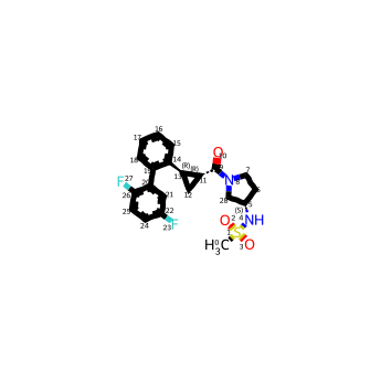 CS(=O)(=O)N[C@H]1CCN(C(=O)[C@@H]2C[C@H]2c2ccccc2-c2cc(F)ccc2F)C1